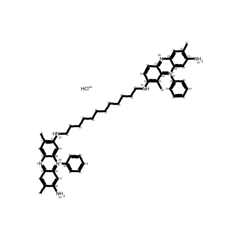 Cc1cc2nc3cc(C)c(NCCCCCCCCCCCCNc4ccc5nc6cc(C)c(N)cc6[n+](-c6ccccc6)c5c4C)cc3[n+](-c3ccccc3)c2cc1N.Cl